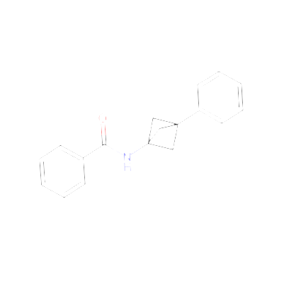 O=C(NC12CC(c3ccccc3)(C1)C2)c1ccccc1